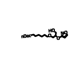 CCCCCCCCCCCCCCCCOCC(CO)Oc1ccon1